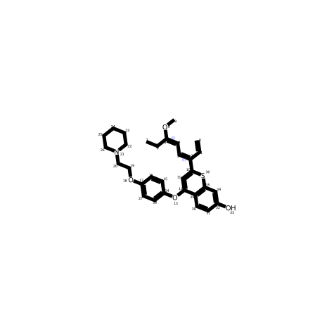 C=C/C(=C\C=C(/CC)OC)C1=C=C(Oc2ccc(OCCN3CCCCC3)cc2)c2ccc(O)cc2S1